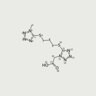 Cn1nnnc1SCCCSc1nnnn1CC(=O)O